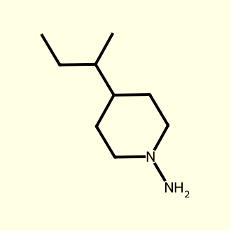 CCC(C)C1CCN(N)CC1